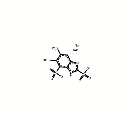 O=S(=O)([O-])c1nc2cc(S(=O)(=O)O)c(S(=O)(=O)O)c(S(=O)(=O)[O-])c2[nH]1.[Na+].[Na+]